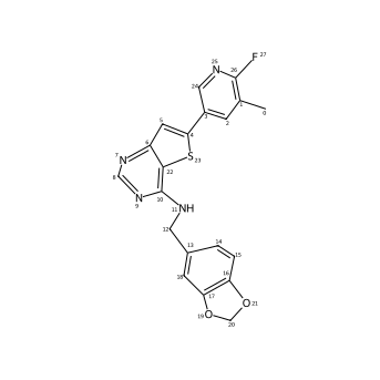 Cc1cc(-c2cc3ncnc(NCc4ccc5c(c4)OCO5)c3s2)cnc1F